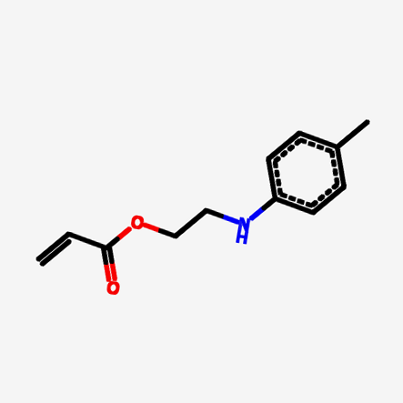 C=CC(=O)OCCNc1ccc(C)cc1